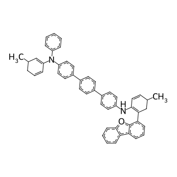 CC1C=C(N(c2ccccc2)c2ccc(-c3ccc(-c4ccc(NC5=C(c6cccc7c6oc6ccccc67)CC(C)C=C5)cc4)cc3)cc2)C=CC1